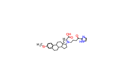 COc1ccc2c(c1)CCC1C2CC[C@@]2(C)C1CCC2N(CCCC(=O)c1ncc[nH]1)CC(=O)O